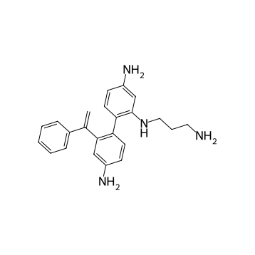 C=C(c1ccccc1)c1cc(N)ccc1-c1ccc(N)cc1NCCCN